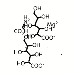 NCC(=O)O.O=C([O-])C(O)C(O)C(O)C(O)CO.O=C([O-])C(O)C(O)C(O)C(O)CO.[Mg+2]